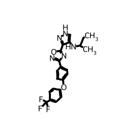 CCC(C)Nc1c[nH]nc1-c1nc(-c2ccc(Oc3ccc(C(F)(F)F)cc3)cc2)no1